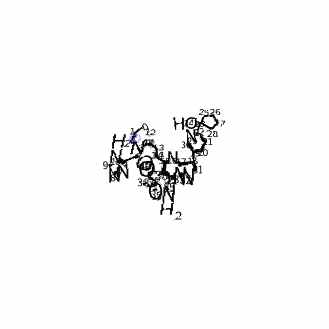 C/C=C\N(C(=O)c1nnc[nH]1)[C@H](C)CCc1nc2c(-c3ccc(C4(O)CCCC4)nc3)cnn2c(N)c1S(C)(=O)=O